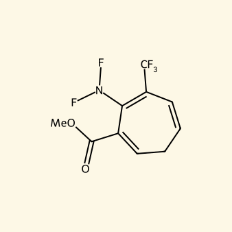 COC(=O)C1=CCC=CC(C(F)(F)F)=C1N(F)F